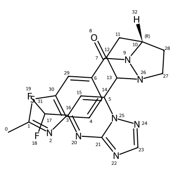 Cc1nc2ccc(C(=O)N3[C@@H]4CCC(c5cc(C(F)F)nc6ncnn56)N3CC4)cc2s1